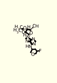 C#C[C@H]1O[C@@H](n2cnc3c(NC4COCC(F)C4)ncnc32)[C@H]2OC(C)(C)O[C@@H]21